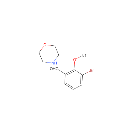 C1COCCN1.CCOc1c(Br)cccc1C=O